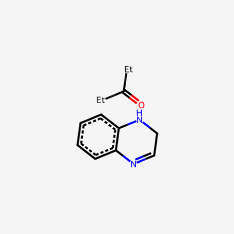 C1=Nc2ccccc2NC1.CCC(=O)CC